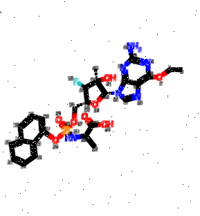 CCOc1nc(N)nc2c1ncn2[C@@H]1O[C@H](COP(=O)(NC(C)C(=O)O)Oc2cccc3ccccc23)[C@@H](F)[C@@]1(C)O